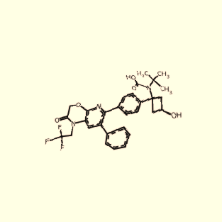 CC(C)(C)N(C(=O)O)C1(c2ccc(-c3nc4c(cc3-c3ccccc3)N(CC(F)(F)F)C(=O)CO4)cc2)CC(O)C1